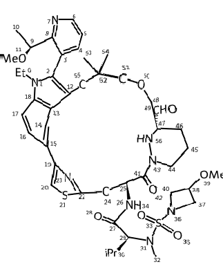 CCn1c(-c2cccnc2[C@H](C)OC)c2c3cc(ccc31)-c1csc(n1)C[C@H](NC(=O)[C@H](C(C)C)N(C)S(=O)(=O)N1CC(OC)C1)C(=O)N1CCC[C@](C=O)(COCC(C)(C)C2)N1